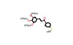 CCCCCCOc1cc(C=CC(=O)c2ccc(SCCC)cc2)cc(OCCCCCC)c1OCCCCCC